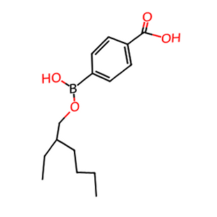 CCCCC(CC)COB(O)c1ccc(C(=O)O)cc1